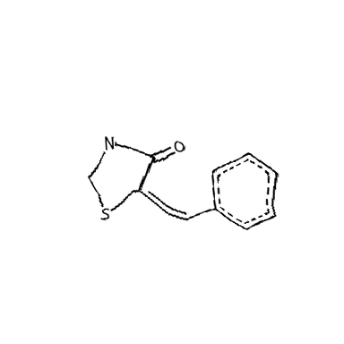 O=C1[N]CSC1=Cc1ccccc1